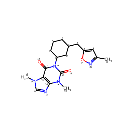 Cc1cc(CC2CCCC(n3c(=O)c4c(ncn4C)n(C)c3=O)C2)on1